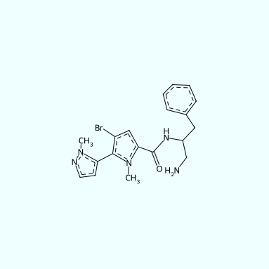 Cn1nccc1-c1c(Br)cc(C(=O)NC(CN)Cc2ccccc2)n1C